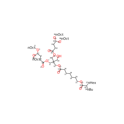 CCCCCCCCOC(CCC(=O)OCC(CO)(COC(=O)CCCCCCOC(=O)C(CCCC)CCCCCC)COC(=O)CCC(OCCCCCCCC)OCCCCCCCC)OCCCCCCCC